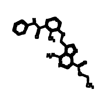 CCOC(=O)c1cnc(N)c2c(COc3cccc(C(=O)Nc4ccccc4)c3C)csc12